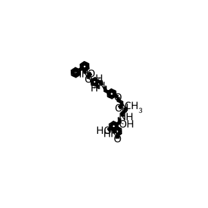 CN(CCNC[C@H](O)c1ccc(O)c2[nH]c(=O)ccc12)C(=O)CCOc1ccc(CCN2C[C@H]3C[C@H](OC(=O)Nc4ccccc4-c4ccccc4)C[C@H]3C2)cc1